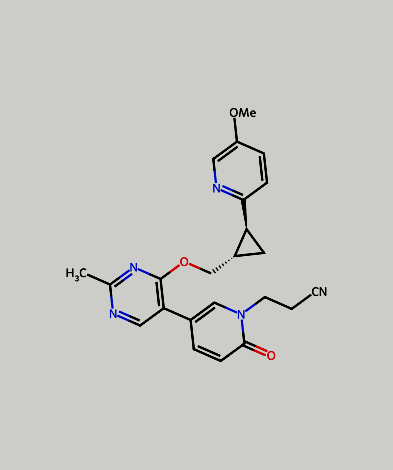 COc1ccc([C@H]2C[C@@H]2COc2nc(C)ncc2-c2ccc(=O)n(CCC#N)c2)nc1